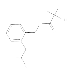 CC(C)Cc1ccccc1COC(=O)C(C)(C)C